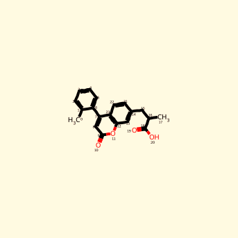 Cc1ccccc1-c1cc(=O)oc2cc(CC(C)C(=O)O)ccc12